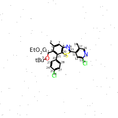 CCOC(=O)[C@@H](OC(C)(C)C)c1c(C)cc2nc(-c3cc(Cl)ncc3C)sc2c1-c1ccc(Cl)cc1